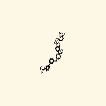 O=C1CC[C@H](N2Cc3c(ccc4c3OCC43CCN(Cc4cccc(-c5cnn(C(F)F)c5)c4)CC3)C2=O)C(=O)N1